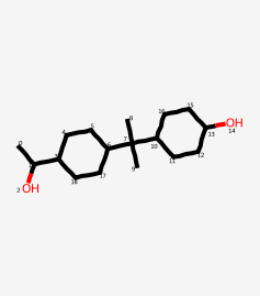 CC(O)C1CCC(C(C)(C)C2CCC(O)CC2)CC1